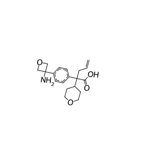 C=CCC(C(=O)O)(c1ccc(C2(N)COC2)cc1)C1CCOCC1